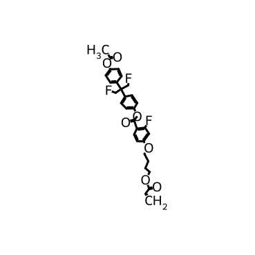 C=CC(=O)OCCCCOc1ccc(C(=O)Oc2ccc(C(CF)(CF)c3ccc(OC(C)=O)cc3)cc2)c(F)c1